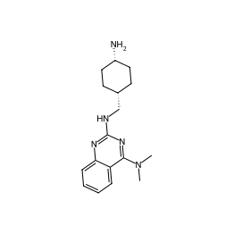 CN(C)c1nc(NC[C@H]2CC[C@@H](N)CC2)nc2ccccc12